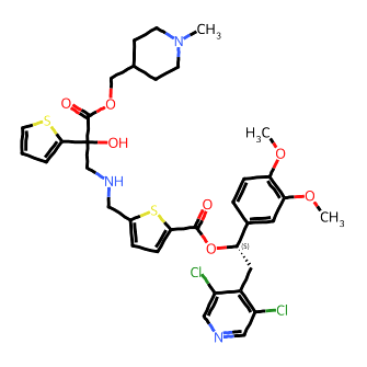 COc1ccc([C@H](Cc2c(Cl)cncc2Cl)OC(=O)c2ccc(CNCC(O)(C(=O)OCC3CCN(C)CC3)c3cccs3)s2)cc1OC